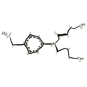 O=C(O)Cc1ccc(N(CCCO)CCCO)cc1